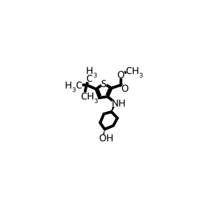 COC(=O)c1sc(C(C)(C)C)cc1N[C@H]1CC[C@H](O)CC1